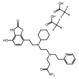 NC(=O)CCN(CCc1ccccn1)CCN(CCc1ccc(O)c2[nH]c(=O)sc12)C1CCCCC1.O=C(O)C(F)(F)F.O=C(O)C(F)(F)F